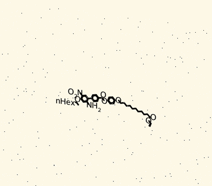 C=COC(=O)CCCCCCCCCCOc1ccc(OC(=O)c2ccc(-c3cc([N+](=O)[O-])c(OC(C)CCCCCC)cc3N)cc2)cc1